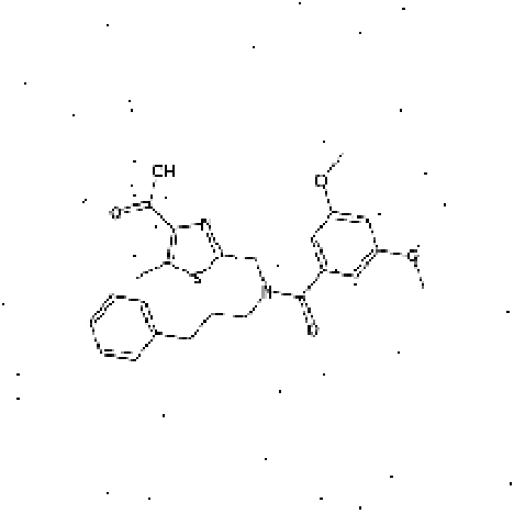 COc1cc(OC)cc(C(=O)N(CCCc2ccccc2)Cc2nc(C(=O)O)c(C)s2)c1